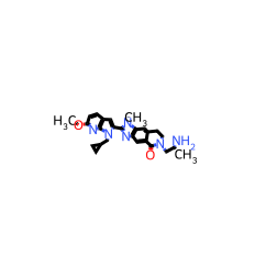 COc1ccc2cc(-c3nc4cc5c(cc4n3C)CCN(CC(C)N)C5=O)n(CC3CC3)c2n1